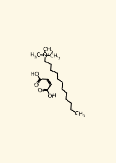 CCCCCCCCCCCC[N+](C)(C)C.O=C(O)/C=C\C(=O)O